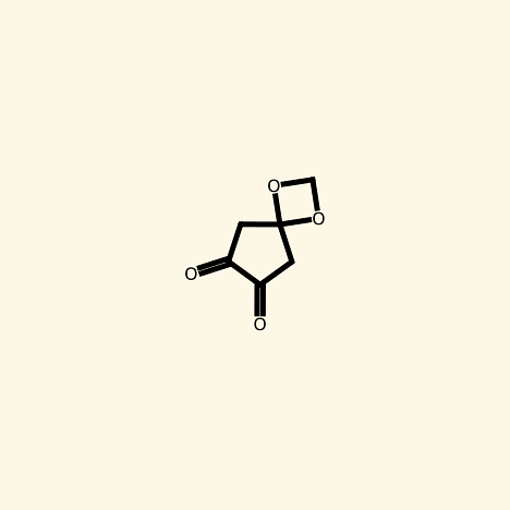 O=C1CC2(CC1=O)OCO2